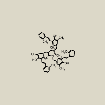 Cc1ccccc1/C=C/c1cc(CC2C(C)N(Cc3cc(C)c(O)c(/C=C/c4ccccc4C)c3)N(C)N(Cc3cc(C)c(O)c(/C=C/c4ccccc4C)c3)C2C)cc(C)c1O